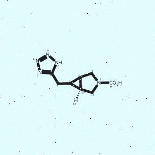 O=C(O)N1CC2C(Cc3nnn[nH]3)[C@@H]2C1